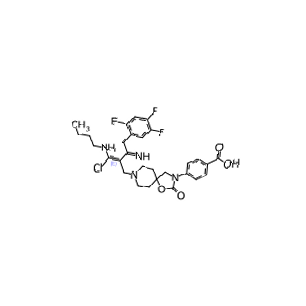 CCCCN/C(Cl)=C(/CN1CCC2(CC1)CN(c1ccc(C(=O)O)cc1)C(=O)O2)C(=N)Cc1cc(F)c(F)cc1F